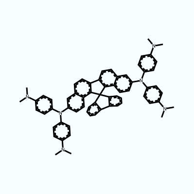 CN(C)c1ccc(N(c2ccc(N(C)C)cc2)c2ccc3c4c(ccc3c2)-c2ccc3cc(N(c5ccc(N(C)C)cc5)c5ccc(N(C)C)cc5)ccc3c2C42c3ccccc3-c3ccccc32)cc1